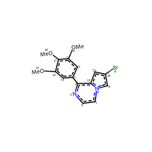 COc1cc(-c2nccn3cc(Br)cc23)cc(OC)c1OC